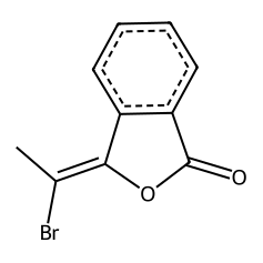 C/C(Br)=C1/OC(=O)c2ccccc21